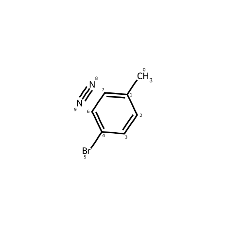 Cc1ccc(Br)cc1.N#N